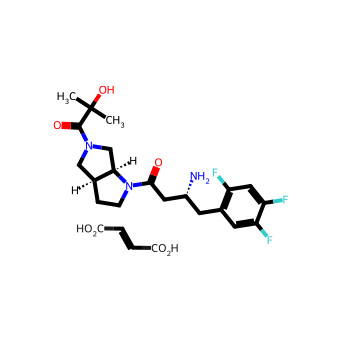 CC(C)(O)C(=O)N1C[C@@H]2CCN(C(=O)C[C@H](N)Cc3cc(F)c(F)cc3F)[C@@H]2C1.O=C(O)C=CC(=O)O